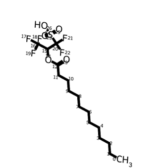 CCCCCCCCCCCCC(=O)OC(C(F)(F)F)C(F)(F)S(=O)(=O)O